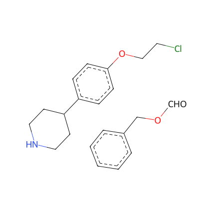 ClCCOc1ccc(C2CCNCC2)cc1.O=COCc1ccccc1